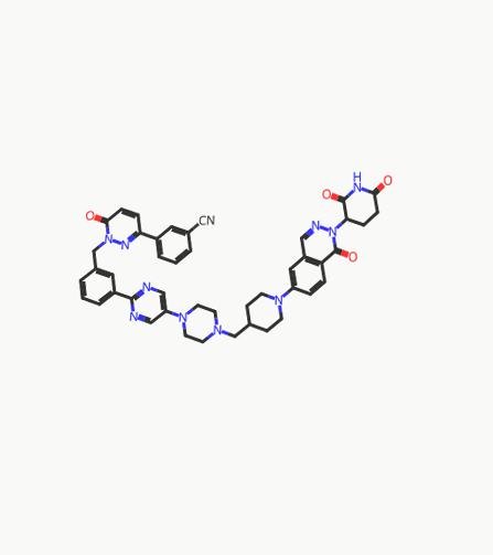 N#Cc1cccc(-c2ccc(=O)n(Cc3cccc(-c4ncc(N5CCN(CC6CCN(c7ccc8c(=O)n(C9CCC(=O)NC9=O)ncc8c7)CC6)CC5)cn4)c3)n2)c1